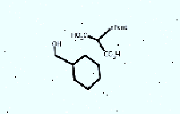 CCCCCC(C(=O)O)C(=O)O.OCC1CCCCC1